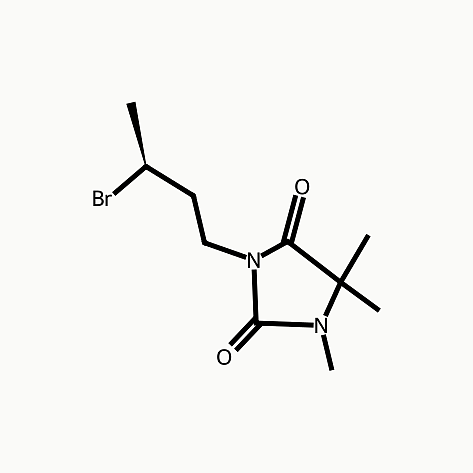 C[C@H](Br)CCN1C(=O)N(C)C(C)(C)C1=O